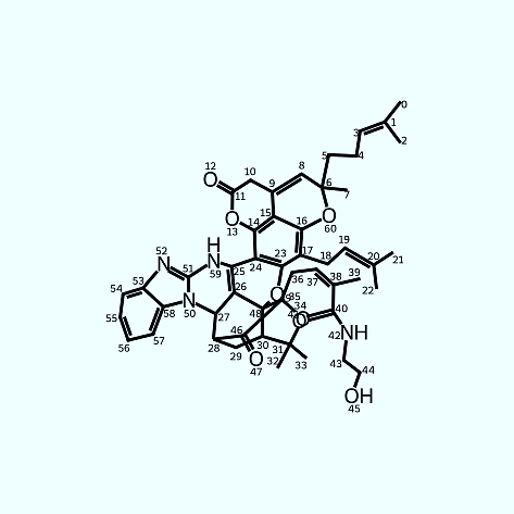 CC(C)=CCCC1(C)C=C2CC(=O)Oc3c2c(c(CC=C(C)C)c2c3C3=C4C(C5CC6C(C)(C)OC(C/C=C(/C)C(=O)NCCO)(C5=O)C46O2)n2c(nc4ccccc42)N3)O1